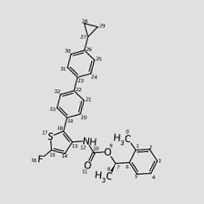 Cc1ccccc1[C@@H](C)OC(=O)Nc1cc(F)sc1-c1ccc(-c2ccc(C3CC3)cc2)cc1